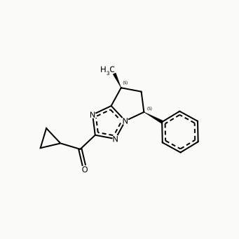 C[C@H]1C[C@@H](c2ccccc2)n2nc(C(=O)C3CC3)nc21